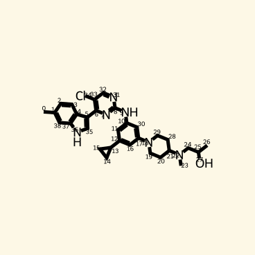 Cc1ccc2c(-c3nc(Nc4cc(C5CC5)cc(N5CCC(N(C)CC(C)O)CC5)c4)ncc3Cl)c[nH]c2c1